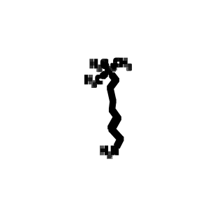 C[N+](C)(C)CCCCC=CCN